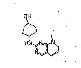 CN1CC=Cc2cnc(NC3CCC(O)CC3)nc21